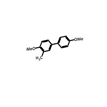 COc1ccc(-c2ccc(OC)c(C)c2)cc1